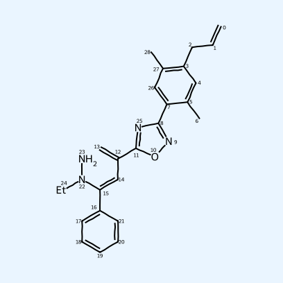 C=CCc1cc(C)c(-c2noc(C(=C)/C=C(/c3ccccc3)N(N)CC)n2)cc1C